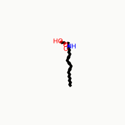 CCCCCCCCC#CCC#CCC#CCCCC(=O)NC(C)OCCO